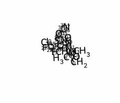 C=CC(=O)N1[C@H](C)CN(c2nc(=O)n3c4c(c(-c5cc(Cl)c(F)cc5F)c(C)cc24)SC[C@@H](Oc2ccncc2)C3)C[C@@H]1C